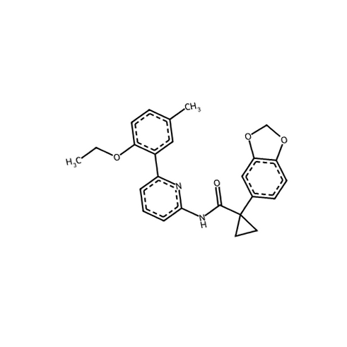 CCOc1ccc(C)cc1-c1cccc(NC(=O)C2(c3ccc4c(c3)OCO4)CC2)n1